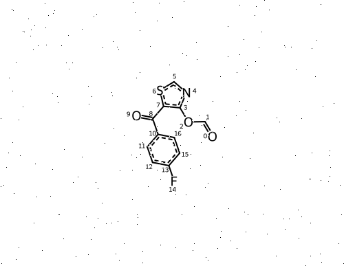 O=COc1ncsc1C(=O)c1ccc(F)cc1